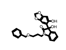 O=C1N(CCCOCc2ccccc2)c2ccccc2C1(O)c1cc2c(cc1O)OCO2